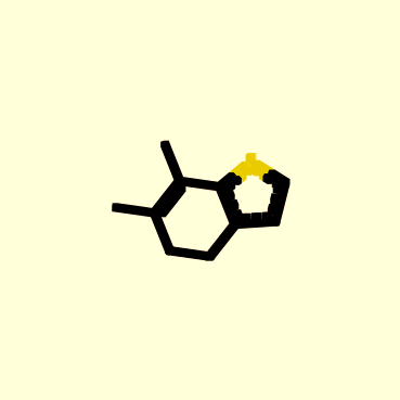 CC1=C(C)c2sccc2CC1